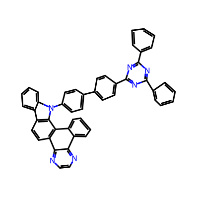 c1ccc(-c2nc(-c3ccccc3)nc(-c3ccc(-c4ccc(-n5c6ccccc6c6ccc7c8nccnc8c8ccccc8c7c65)cc4)cc3)n2)cc1